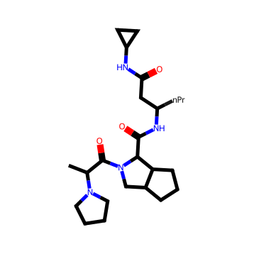 CCCC(CC(=O)NC1CC1)NC(=O)C1C2CCCC2CN1C(=O)C(C)N1CCCC1